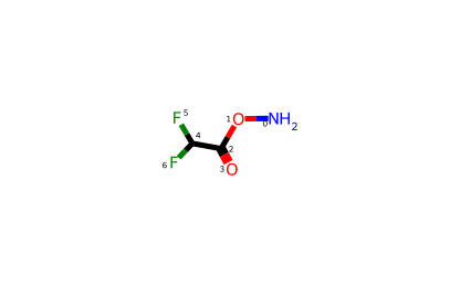 NOC(=O)C(F)F